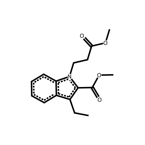 CCc1c(C(=O)OC)n(CCC(=O)OC)c2ccccc12